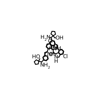 NC(c1ccc2[nH]c(-c3ccc(Cl)c4c3C(C(=O)C3NCc5c(Cl)ccc(-c6cc7cc(C(N)C8(CO)CCCC8)ccc7[nH]6)c53)NC4)cc2c1)C1(CO)CCCC1